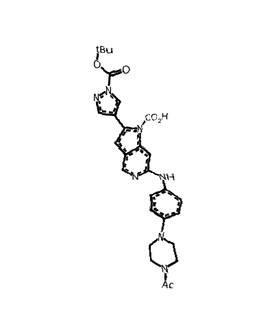 CC(=O)N1CCN(c2ccc(Nc3cc4c(cn3)cc(-c3cnn(C(=O)OC(C)(C)C)c3)n4C(=O)O)cc2)CC1